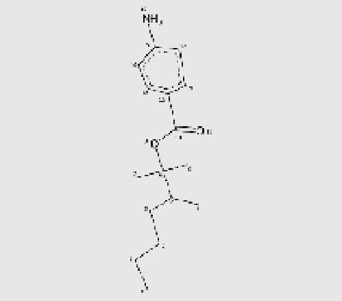 CCCCC(C)C(C)(C)OC(=O)c1ccc(N)cc1